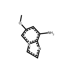 COc1cc(N)c2nccn2c1